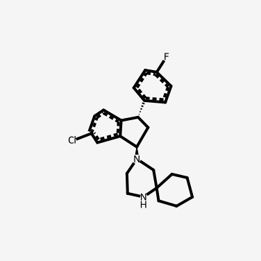 Fc1ccc([C@@H]2C[C@@H](N3CCNC4(CCCCC4)C3)c3cc(Cl)ccc32)cc1